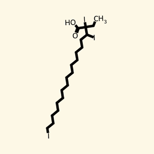 CCC(I)(C(=O)O)C(I)CCCCCCCCCCCCCCCI